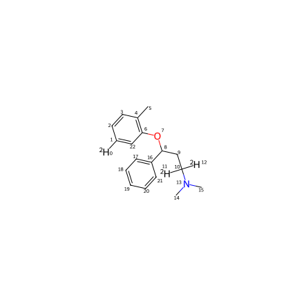 [2H]c1ccc(C)c(OC(CC([2H])([2H])N(C)C)c2ccccc2)c1